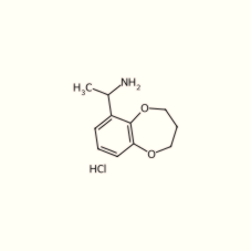 CC(N)c1cccc2c1OCCCO2.Cl